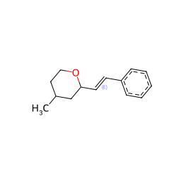 CC1CCOC(/C=C/c2ccccc2)C1